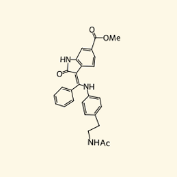 COC(=O)c1ccc2c(c1)NC(=O)C2=C(Nc1ccc(CCNC(C)=O)cc1)c1ccccc1